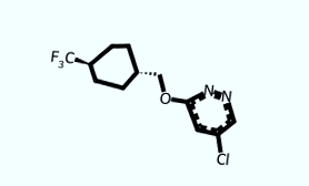 FC(F)(F)[C@H]1CC[C@H](COc2cc(Cl)cnn2)CC1